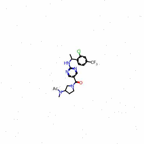 CC(=O)N(C)C1CCN(C(=O)c2cnc(NC(C)c3ccc(C(F)(F)F)cc3Cl)nc2)C1